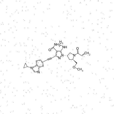 C=CC(=O)N1C[C@@H](n2nc(C#Cc3ccc4c(c3)ncn4C3CC3)c(C(N)=O)c2NC)C[C@@H]1COC